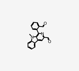 Cn1c2ccccc2c2cc(C=O)nc(-c3ccccc3C=O)c21